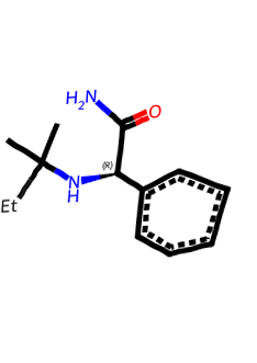 CCC(C)(C)N[C@@H](C(N)=O)c1ccccc1